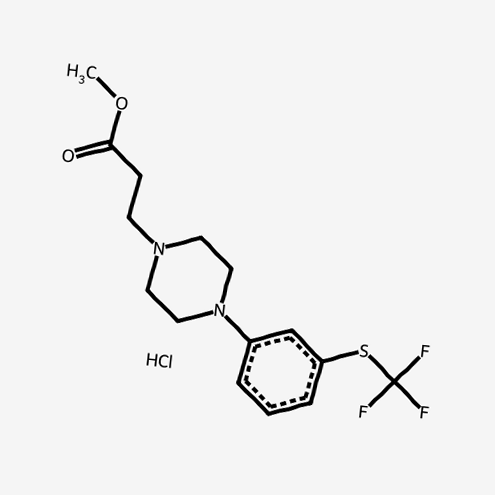 COC(=O)CCN1CCN(c2cccc(SC(F)(F)F)c2)CC1.Cl